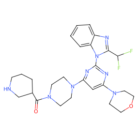 O=C(C1CCCNC1)N1CCN(c2cc(N3CCOCC3)nc(-n3c(C(F)F)nc4ccccc43)n2)CC1